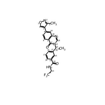 Cc1nocc1-c1ccc2c(=O)n([C@H](C)c3cccc(C(=O)NCC(F)(F)F)c3)cnc2c1